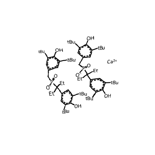 CCC(CC)(c1cc(C(C)(C)C)c(O)c(C(C)(C)C)c1)P(=O)([O-])Cc1cc(C(C)(C)C)c(O)c(C(C)(C)C)c1.CCC(CC)(c1cc(C(C)(C)C)c(O)c(C(C)(C)C)c1)P(=O)([O-])Cc1cc(C(C)(C)C)c(O)c(C(C)(C)C)c1.[Ca+2]